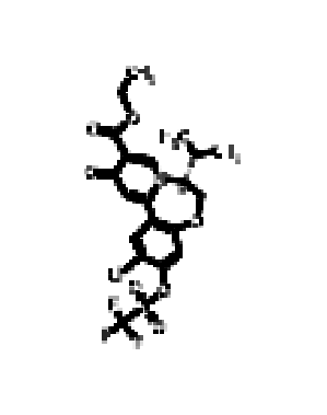 CCOC(=O)c1cn2c(cc1=O)-c1cc(Cl)c(OS(=O)(=O)C(F)(F)F)cc1OC[C@H]2C(C)C